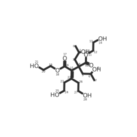 CC(O)CC(CC(C)O)(C(=O)OCCO)C(C(=O)OCCO)=C(CCO)CCO